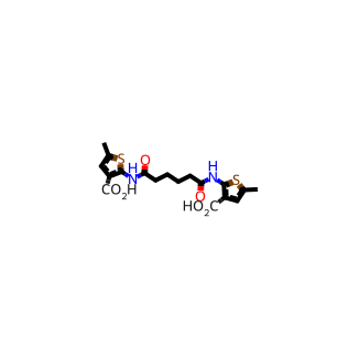 Cc1cc(C(=O)O)c(NC(=O)CCCCC(=O)Nc2sc(C)cc2C(=O)O)s1